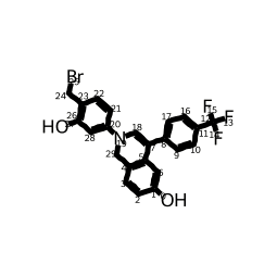 Oc1ccc2c(c1)C(c1ccc(C(F)(F)F)cc1)=CN(c1ccc(CBr)c(O)c1)C2